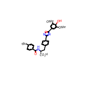 COc1cc(-c2nc(-c3ccc(C[C@H](NC(=O)c4ccc(C(C)(C)C)cc4)C(=O)O)cc3)no2)cc(OC)c1O